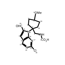 COC1CCC(CNC(=O)O)(n2c(C=O)cc3cnc(Cl)nc32)CC1